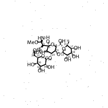 COC(=N)C(=S)[C@@]1(O)O[C@H](CO)[C@@H](O[C@@H]2O[C@@H](C)[C@@H](O)[C@@H](O)[C@@H]2O)[C@H](O[C@@H]2O[C@H](CO)[C@H](O)[C@H](O)[C@H]2O)[C@H]1NC(C)=O